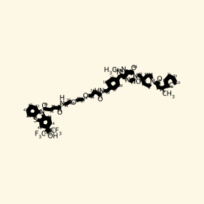 C[C@@H](CC(=O)N1CCC(O)(Cn2cnc3c(-c4ccc(CNC(=O)CCOCCOCCNC(=O)CCC(=O)N5c6ccccc6Sc6cc(C(O)(C(F)(F)F)C(F)(F)F)ccc65)cc4)n(C)nc3c2=O)CC1)c1ccccc1